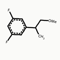 COCC(C)c1cc(F)cc(F)c1